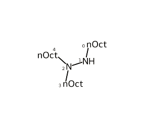 CCCCCCCCNN(CCCCCCCC)CCCCCCCC